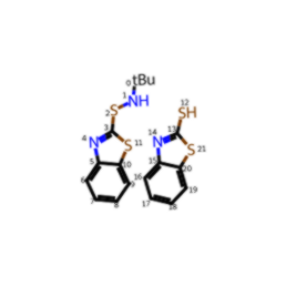 CC(C)(C)NSc1nc2ccccc2s1.Sc1nc2ccccc2s1